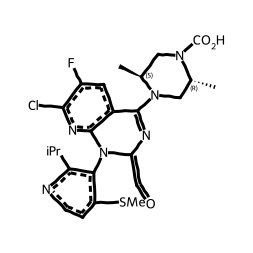 CSc1ccnc(C(C)C)c1N1C(=C=O)N=C(N2C[C@@H](C)N(C(=O)O)C[C@@H]2C)c2cc(F)c(Cl)nc21